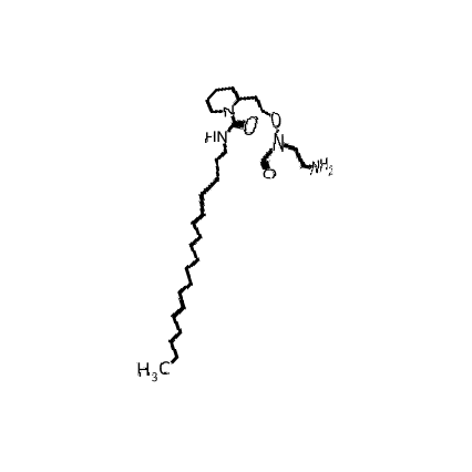 CCCCCCCCCCCCCCCCCCNC(=O)N1CCCCC1CCON(C=O)CCN